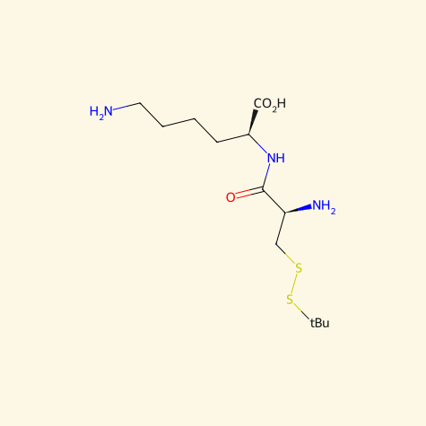 CC(C)(C)SSC[C@H](N)C(=O)N[C@@H](CCCCN)C(=O)O